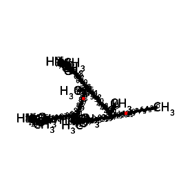 CCCCCCCCCCCCCCCCCCC(CCCCCCCCCC(=O)OC(C)(C)C1CCNCC1)C(CCCC)CCCCCCCCCCCCC(CCCCCCCCCC(=O)OC(C)(C)C1CCNCC1)C(CCC)CCCCCCCCCCCCCCCCCCCCCCC(=O)OC(C)(C)C1CCNCC1